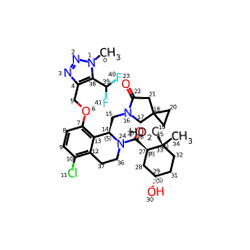 Cn1nnc(COc2ccc(Cl)c3c2[C@@H](CN2CC4(CC4)CC2=O)N(C(=O)[C@@H]2C[C@@H](O)CC[C@]2(C)C(=O)O)CC3)c1C(F)F